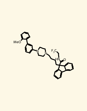 COc1ccccc1-c1cccc(N2CCN(CCCCC3(C(=O)NCC(F)(F)F)c4ccccc4-c4ccccc43)CC2)c1